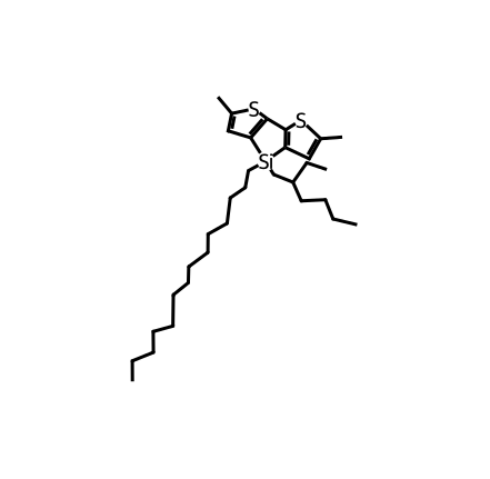 CCCCCCCCCCCCCC[Si]1(CC(CC)CCCC)c2cc(C)sc2-c2sc(C)cc21